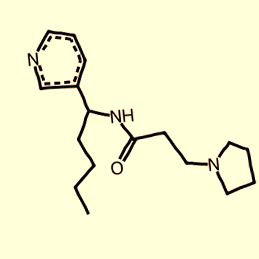 CCCCC(NC(=O)CCN1CCCC1)c1cccnc1